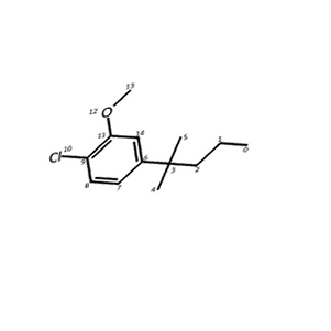 CCCC(C)(C)c1ccc(Cl)c(OC)c1